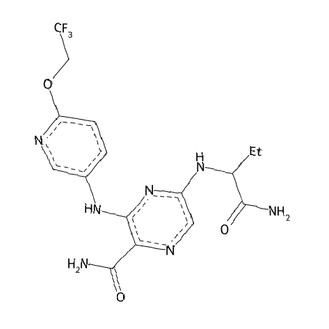 CCC(Nc1cnc(C(N)=O)c(Nc2ccc(OCC(F)(F)F)nc2)n1)C(N)=O